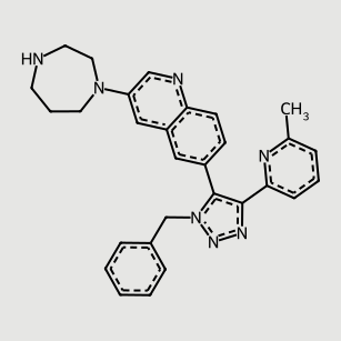 Cc1cccc(-c2nnn(Cc3ccccc3)c2-c2ccc3ncc(N4CCCNCC4)cc3c2)n1